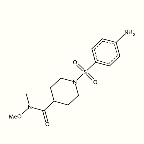 CON(C)C(=O)C1CCN(S(=O)(=O)c2ccc(N)cc2)CC1